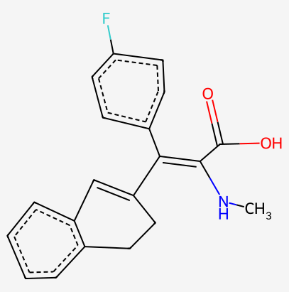 CN/C(C(=O)O)=C(\C1=Cc2ccccc2CC1)c1ccc(F)cc1